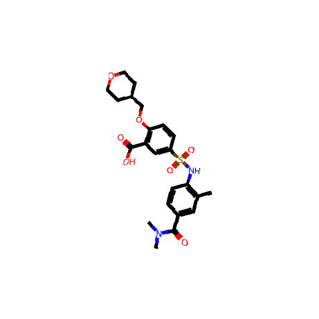 Cc1cc(C(=O)N(C)C)ccc1NS(=O)(=O)c1ccc(OCC2CCOCC2)c(C(=O)O)c1